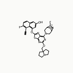 C#Cc1c(F)ccc2cc(O)cc(Oc3nc4c(N5CC6C[C@H](F)C(C5)N6)nc(OCC56CCCN5CCC6)nc4s3)c12